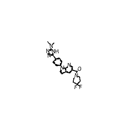 CN(C)c1nnc(-c2ccc(-n3ccc4cc(C(=O)N5CCC(F)(F)CC5)cnc43)cc2)[nH]1